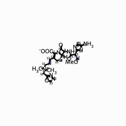 CO/N=C(\C(=O)N[C@@H]1C(=O)N2C(C(=O)[O-])=C(/C=C/C[N+](C)(C)Cc3nnco3)CS[C@@H]12)c1nsc(N)n1